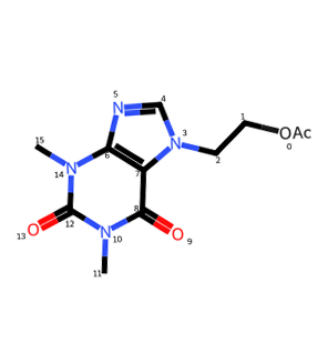 CC(=O)OCCn1cnc2c1c(=O)n(C)c(=O)n2C